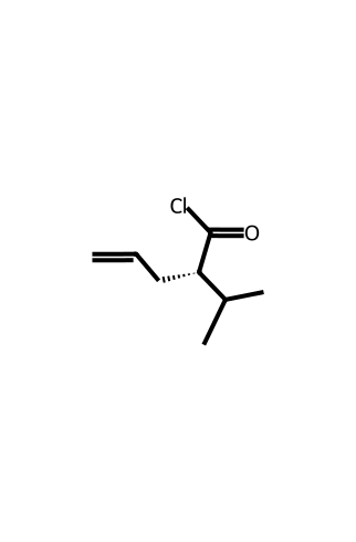 C=CC[C@H](C(=O)Cl)C(C)C